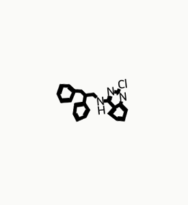 Clc1nc(NCC(Cc2ccccc2)c2ccccc2)c2ccccc2n1